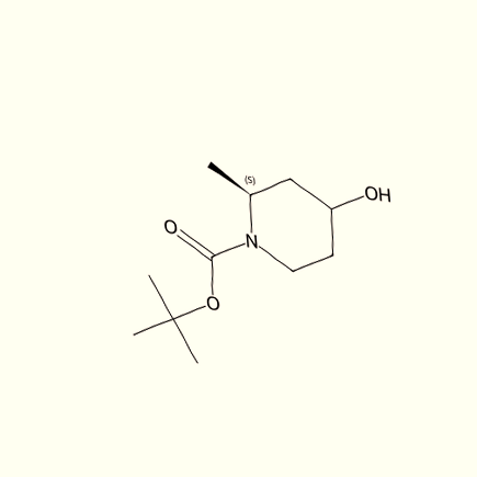 C[C@H]1CC(O)CCN1C(=O)OC(C)(C)C